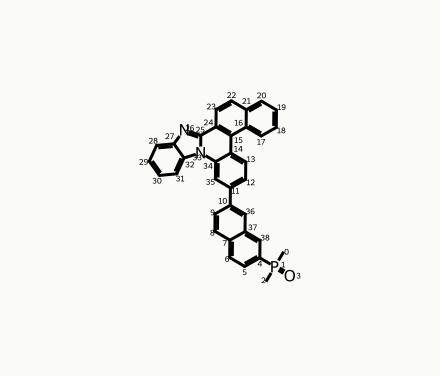 CP(C)(=O)c1ccc2ccc(-c3ccc4c5c6ccccc6ccc5c5nc6ccccc6n5c4c3)cc2c1